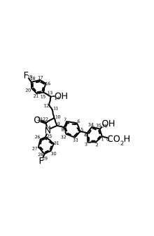 O=C(O)c1ccc(-c2ccc(C3C(CC[C@H](O)c4ccc(F)cc4)C(=O)N3c3ccc(F)cc3)cc2)cc1O